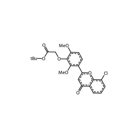 COc1ccc(-c2cc(=O)c3cccc(Cl)c3o2)c(OC)c1OCC(=O)OC(C)(C)C